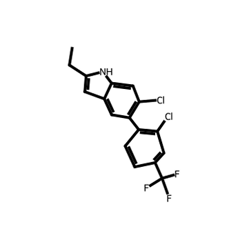 CCc1cc2cc(-c3ccc(C(F)(F)F)cc3Cl)c(Cl)cc2[nH]1